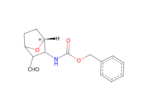 O=CC1C2CC[C@@H](O2)C1NC(=O)OCc1ccccc1